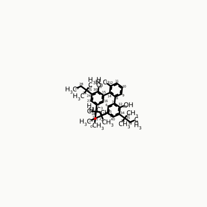 CCC(C)(C)c1cc(-c2cccc(C)c2-c2cc(C(C)(C)CC)cc(C(C)(C)CC)c2O)c(O)c(C(C)(C)CC)c1